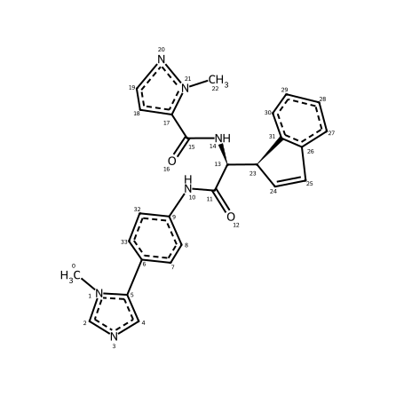 Cn1cncc1-c1ccc(NC(=O)[C@@H](NC(=O)c2ccnn2C)[C@@H]2C=Cc3ccccc32)cc1